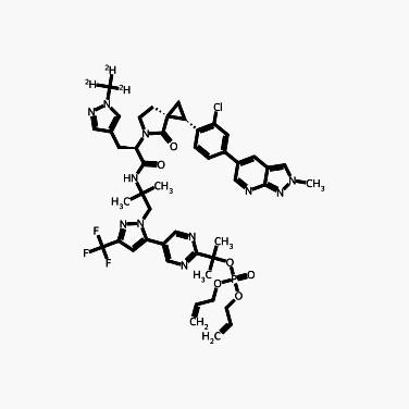 [2H]C([2H])([2H])n1cc(C[C@H](C(=O)NC(C)(C)Cn2nc(C(F)(F)F)cc2-c2cnc(C(C)(C)OP(=O)(OCC=C)OCC=C)nc2)N2CC[C@@]3(C[C@@H]3c3ccc(-c4cnc5nn(C)cc5c4)cc3Cl)C2=O)cn1